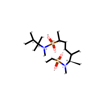 CCS(=O)(=O)N(C)[C@H](C)C(C)CCC(C)S(=O)(=O)N(C)C(C)(C)C(C)C